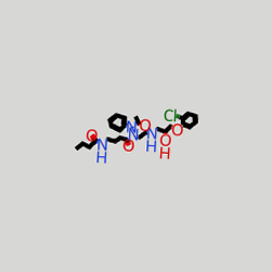 CCCC(=O)NCCCC(=O)N(CCNCC(O)COc1ccccc1Cl)N(C(C)=O)c1ccccc1